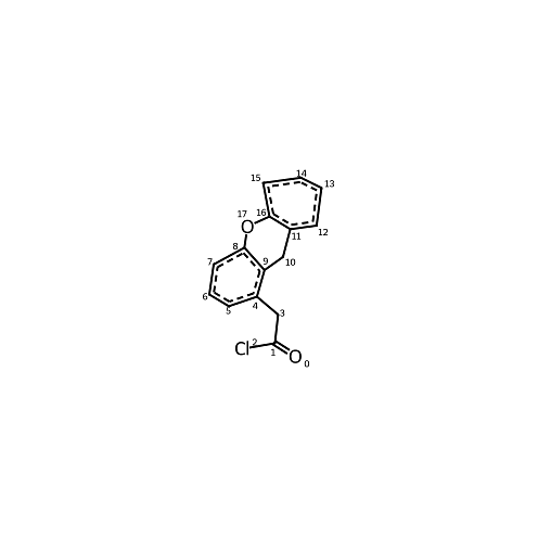 O=C(Cl)Cc1cccc2c1Cc1ccccc1O2